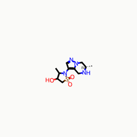 CC1C(O)CS(=O)(=O)N1c1cnn2c1CN[C@@H](C)C2